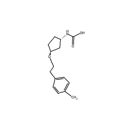 Cc1ccc(CCO[C@H]2CC[C@H](NC(=O)O)C2)cc1